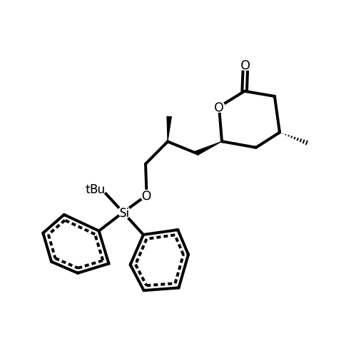 C[C@H](CO[Si](c1ccccc1)(c1ccccc1)C(C)(C)C)C[C@@H]1C[C@@H](C)CC(=O)O1